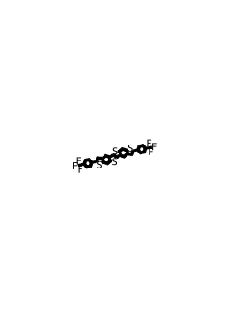 FC(F)(F)c1ccc(-c2cc3cc4c(cc3s2)sc2c3cc5cc(-c6ccc(C(F)(F)F)cc6)sc5cc3sc42)cc1